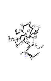 C/C=C(/C)C1[C@@H](CO)[C@H]2[C@@H](C[C@@H]1C)[C@@H](C)CC[C@@H]2C